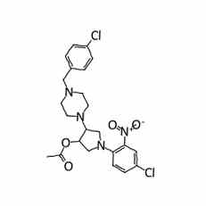 CC(=O)OC1CN(c2ccc(Cl)cc2[N+](=O)[O-])CC1N1CCN(Cc2ccc(Cl)cc2)CC1